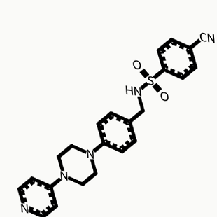 N#Cc1ccc(S(=O)(=O)NCc2ccc(N3CCN(c4ccncc4)CC3)cc2)cc1